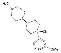 COc1cccc([C@]2(C#N)CC[C@@H](N3CCN(C)CC3)CC2)c1